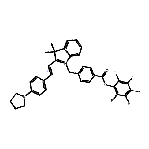 CC1(C)C(/C=C/c2ccc(N3CCCC3)cc2)=[N+](Cc2ccc(C(=O)Oc3c(F)c(F)c(F)c(F)c3F)cc2)c2ccccc21